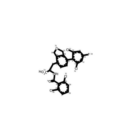 O=C(NC(Cc1ccc(-c2c(Cl)cc(F)cc2Cl)c2c1COC2)C(=O)O)c1c(Cl)cccc1Cl